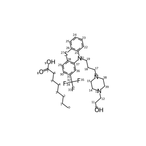 CCCCCCCC(=O)O.OCCN1CCN(CCCN2c3ccccc3Sc3ccc(C(F)(F)F)cc32)CC1